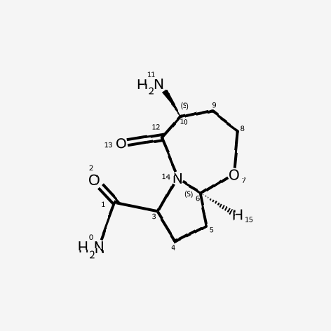 NC(=O)C1CC[C@@H]2OCC[C@H](N)C(=O)N12